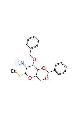 CCSC1OC2COC(c3ccccc3)OC2C(OCc2ccccc2)C1N